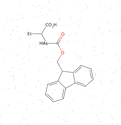 CCC([AsH]C(=O)OCC1c2ccccc2-c2ccccc21)C(=O)O